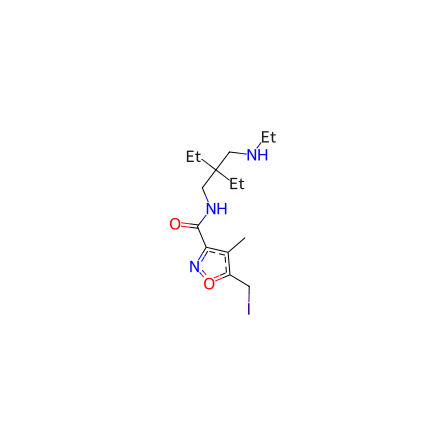 CCNCC(CC)(CC)CNC(=O)c1noc(CI)c1C